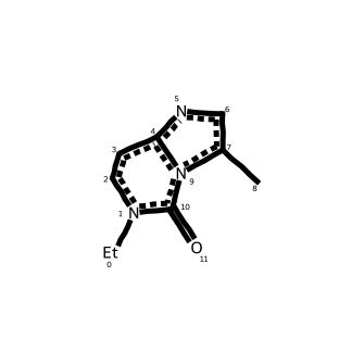 CCn1ccc2ncc(C)n2c1=O